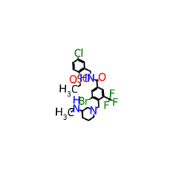 CCS(=O)(=O)c1ccc(Cl)cc1CNC(=O)c1cc(Br)c(CN2CCCC(NC)C2)c(C(F)(F)F)c1